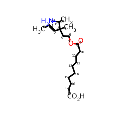 CC=CC(C)(CCOC(=O)CCCCCCCCC(=O)O)C(C)N